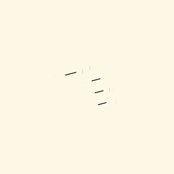 CO.C[O-].C[O-].C[O-].[B+3]